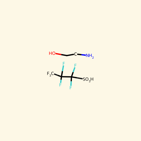 NCCO.O=S(=O)(O)C(F)(F)C(F)(F)C(F)(F)F